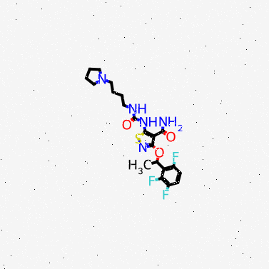 CC(Oc1nsc(NC(=O)NCCCCN2CCCC2)c1C(N)=O)c1c(F)ccc(F)c1F